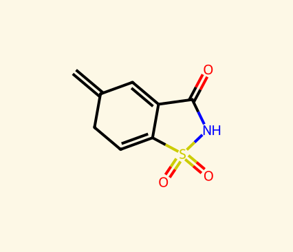 C=C1C=C2C(=O)NS(=O)(=O)C2=CC1